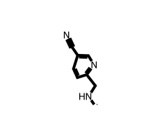 [CH2]NCc1ccc(C#N)cn1